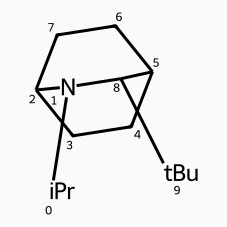 CC(C)N1C2CCC(CC2)C1C(C)(C)C